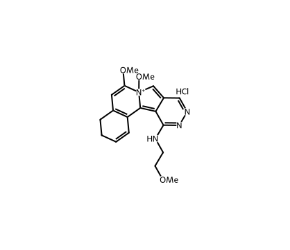 COCCNc1nncc2c1=C1C3=C(C=C(OC)[N+]1(OC)C=2)CCC=C3.Cl